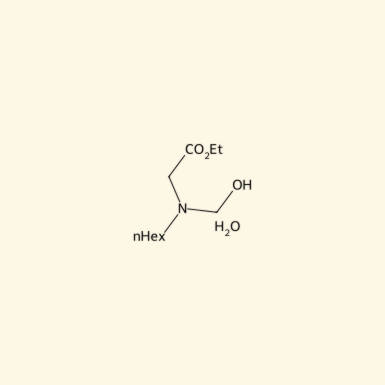 CCCCCCN(CO)CC(=O)OCC.O